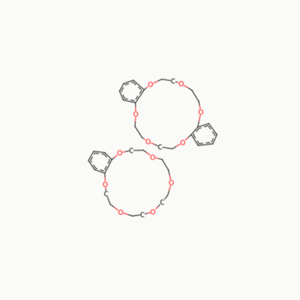 c1ccc2c(c1)OCCOCCOCCOCCOCCO2.c1ccc2c(c1)OCCOCCOc1ccccc1OCCOCCO2